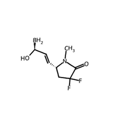 B[C@H](O)/C=C/[C@H]1CC(F)(F)C(=O)N1C